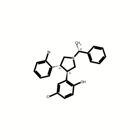 C[C@H](c1ccccc1)N1C[C@@H](c2cc(Cl)ccc2O)[C@H](c2ccccc2Br)C1